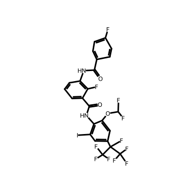 O=C(Nc1cccc(C(=O)Nc2c(I)cc(C(F)(C(F)(F)F)C(F)(F)F)cc2OC(F)F)c1F)c1ccc(F)cc1